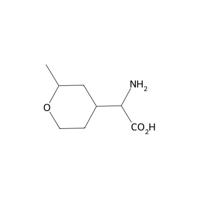 CC1CC(C(N)C(=O)O)CCO1